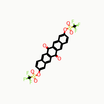 O=C1c2cc3ccc(OS(=O)(=O)C(F)(F)F)cc3cc2C(=O)c2cc3ccc(OS(=O)(=O)C(F)(F)F)cc3cc21